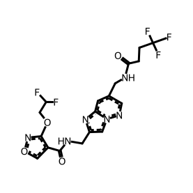 O=C(CCC(F)(F)F)NCc1cnn2cc(CNC(=O)c3conc3OCC(F)F)nc2c1